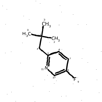 CC(C)(C)Cc1ccc(F)cn1